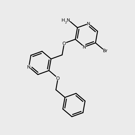 Nc1ncc(Br)nc1OCc1ccncc1OCc1ccccc1